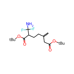 C=C(CCC(C(=O)OC(C)(C)C)C(N)(F)F)CC(=O)OC(C)(C)C